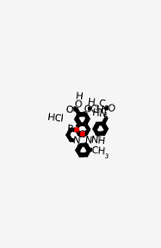 COc1cc(CC(=O)N(Nc2ccc(CNC(C)=O)cc2)c2c(C)cccc2N2CCCCC2)c(Br)cc1C(=O)O.Cl